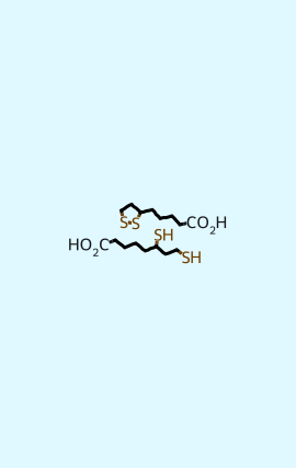 O=C(O)CCCCC(S)CCS.O=C(O)CCCCC1CCSS1